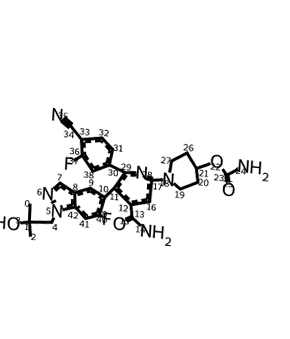 CC(C)(O)Cn1ncc2cc(-c3c(C(N)=O)cc(N4CCC(OC(N)=O)CC4)nc3-c3ccc(C#N)c(F)c3)c(F)cc21